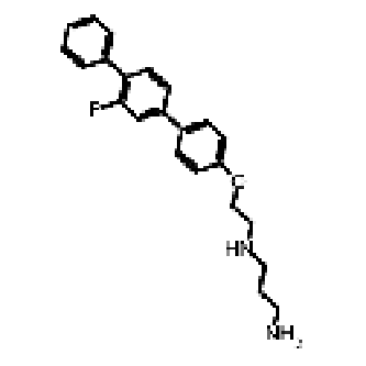 NCCCNCCOc1ccc(-c2ccc(-c3ccccc3)c(F)c2)cc1